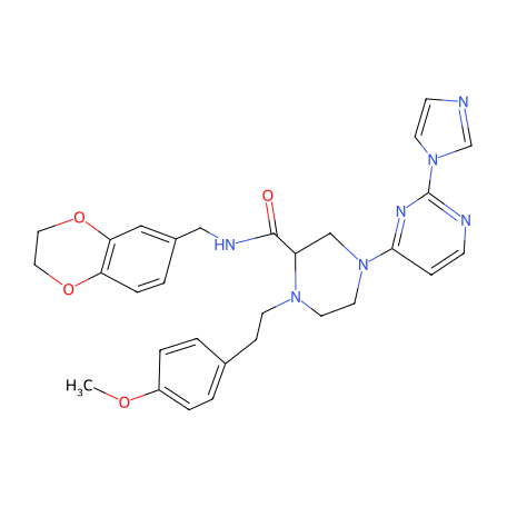 COc1ccc(CCN2CCN(c3ccnc(-n4ccnc4)n3)CC2C(=O)NCc2ccc3c(c2)OCCO3)cc1